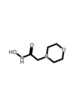 O=C(CN1CCOCC1)NO